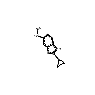 NNc1ccc2[nH]c(C3CC3)nc2c1